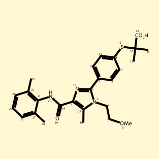 COCCn1c(-c2ccc(SC(C)(C)C(=O)O)cc2)nc(C(=O)Nc2c(C)cccc2C)c1C